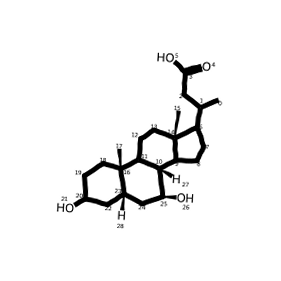 CC(CC(=O)O)C1CCC2[C@H]3C(CC[C@]12C)[C@@]1(C)CCC(O)C[C@H]1C[C@@H]3O